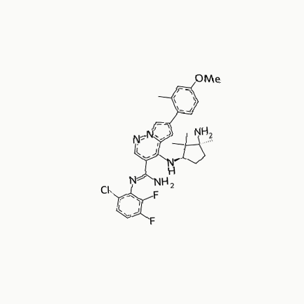 COc1ccc(-c2cc3c(N[C@@H]4CC[C@](C)(N)C4(C)C)c(/C(N)=N/c4c(Cl)ccc(F)c4F)cnn3c2)c(C)c1